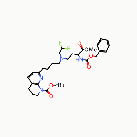 COC(=O)C(CCN(CCCCc1ccc2c(n1)N(C(=O)OC(C)(C)C)CCC2)CC(F)F)NC(=O)OCc1ccccc1